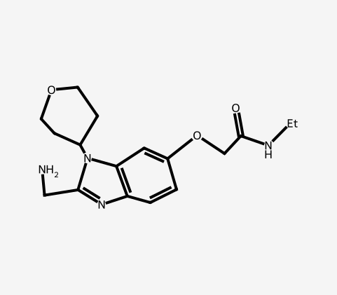 CCNC(=O)COc1ccc2nc(CN)n(C3CCOCC3)c2c1